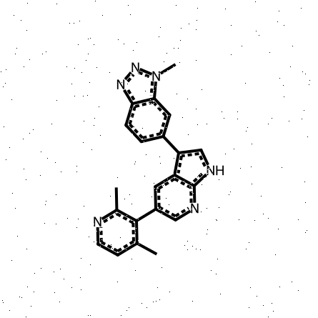 Cc1ccnc(C)c1-c1cnc2[nH]cc(-c3ccc4nnn(C)c4c3)c2c1